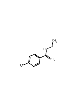 C=C(NCC)c1ccc(C)cc1